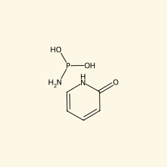 NP(O)O.O=c1cccc[nH]1